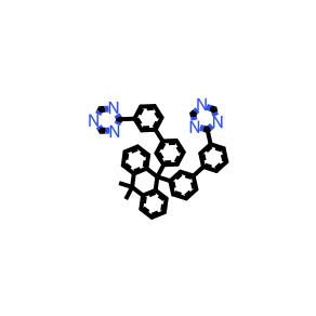 CC1(C)c2ccccc2C(c2cccc(-c3cccc(-c4ncncn4)c3)c2)(c2cccc(-c3cccc(-c4ncncn4)c3)c2)c2ccccc21